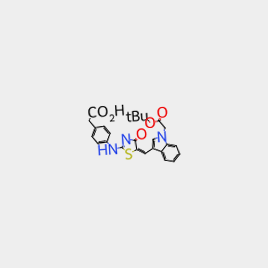 CC(C)(C)OC(=O)Cn1cc(C=C2SC(Nc3ccc(CC(=O)O)cc3)=NC2=O)c2ccccc21